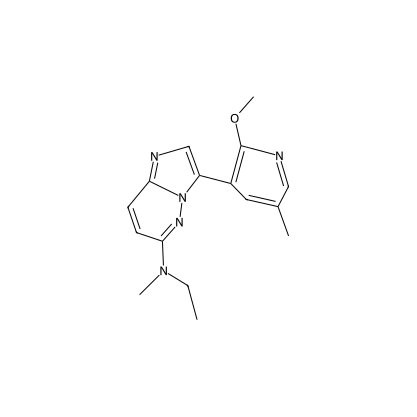 CCN(C)c1ccc2ncc(-c3cc(C)cnc3OC)n2n1